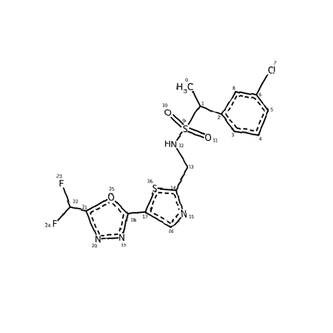 CC(c1cccc(Cl)c1)S(=O)(=O)NCc1ncc(-c2nnc(C(F)F)o2)s1